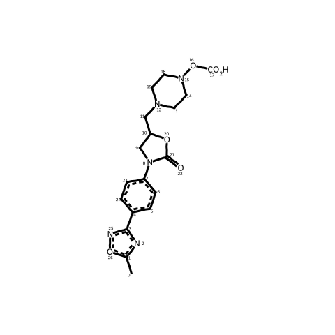 Cc1nc(-c2ccc(N3CC(CN4CCN(OC(=O)O)CC4)OC3=O)cc2)no1